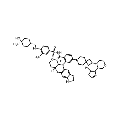 CC(C)c1sccc1[C@@H]1COCCN1C1CC2(CCN(c3ccc(C(=O)NS(=O)(=O)c4ccc(NC[C@H]5CC[C@](C)(O)CC5)c([N+](=O)[O-])c4)c(N4c5cc6cc[nH]c6nc5O[C@@H]5CCOC[C@H]54)c3)CC2)C1